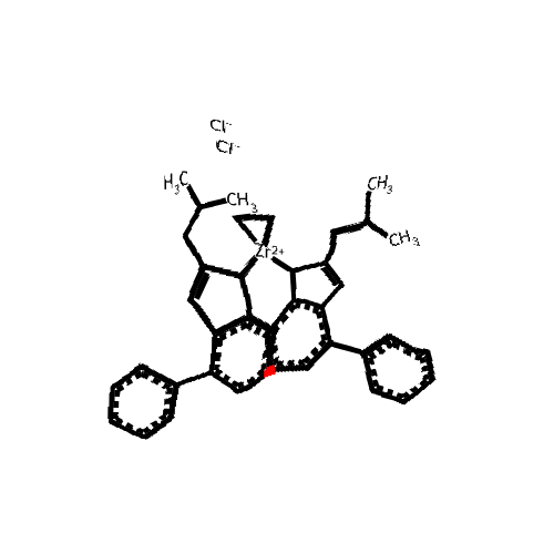 CC(C)CC1=Cc2c(-c3ccccc3)cccc2[CH]1[Zr+2]1([CH]2C(CC(C)C)=Cc3c(-c4ccccc4)cccc32)[CH2][CH2]1.[Cl-].[Cl-]